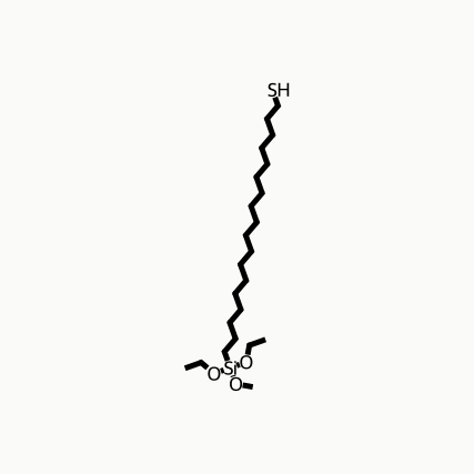 CCO[Si](CCCCCCCCCCCCCCCCCCS)(OC)OCC